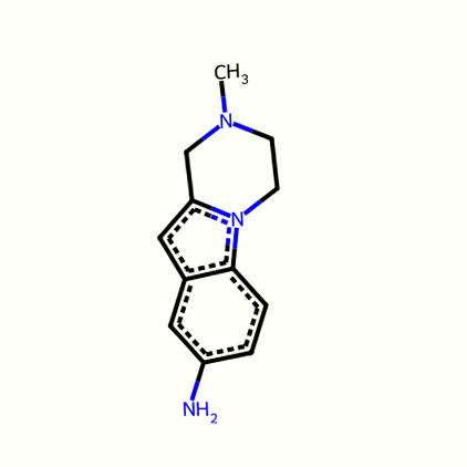 CN1CCn2c(cc3cc(N)ccc32)C1